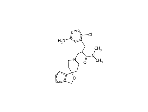 CN(C)C(=O)C(Cc1cc(N)ccc1Cl)CN1CCC2(CC1)OCc1ccccc12